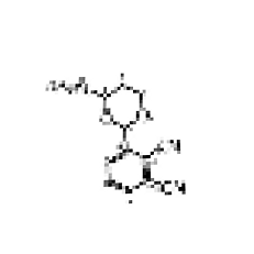 CCCCCC1CCOC(c2cccc(C#N)c2C#N)O1